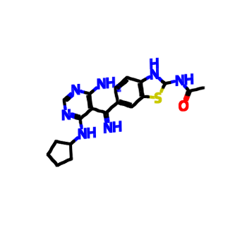 CC(=O)NC1Nc2ccc(C(=N)c3c(N)ncnc3NC3CCCC3)cc2S1